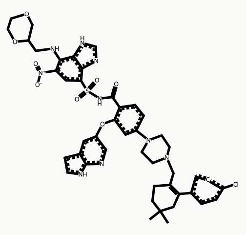 CC1(C)CCC(CN2CCN(c3ccc(C(=O)NS(=O)(=O)c4cc([N+](=O)[O-])c(NCC5COCCO5)c5[nH]cnc45)c(Oc4cnc5[nH]ccc5c4)c3)CC2)=C(c2ccc(Cl)cc2)C1